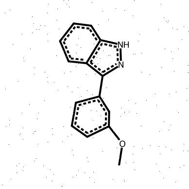 COc1cccc(-c2n[nH]c3ccccc23)c1